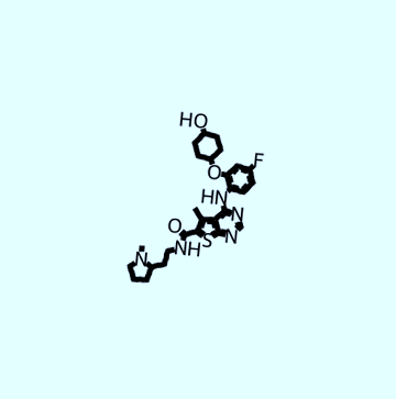 Cc1c(C(=O)NCCC2CCCN2C)sc2ncnc(Nc3ccc(F)cc3OC3CCC(O)CC3)c12